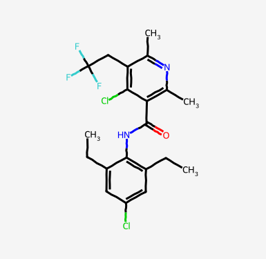 CCc1cc(Cl)cc(CC)c1NC(=O)c1c(C)nc(C)c(CC(F)(F)F)c1Cl